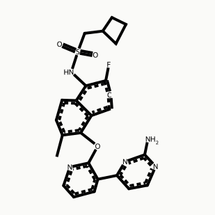 Cc1ccc2c(NS(=O)(=O)CC3CCC3)c(F)ccc2c1Oc1ncccc1-c1ccnc(N)n1